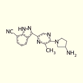 Cc1nc(-c2n[nH]c3c(C#N)cccc23)cnc1N1CCC(N)C1